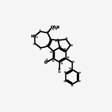 O=C(O)C1CNCCc2c1n1c3c(c(Cc4ccccc4)c(F)c(Cl)c23)CC1